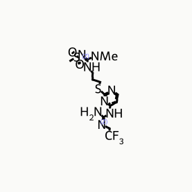 CN/C(=N/S(C)(=O)=O)NCCCSc1nccc(N/C(N)=N\CC(F)(F)F)n1